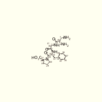 C[C@H](NC(=O)[C@@H](N)CN)C(=O)N[C@@H](Cc1ccccc1)C(=O)N1CCC[C@@H]1C(=O)O